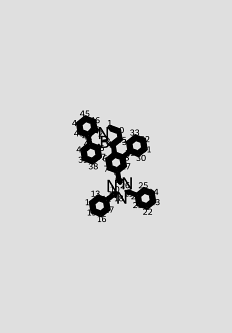 C1=CN2B(C(c3ccc(-c4nc(-c5ccccc5)nc(-c5ccccc5)n4)cc3-c3ccccc3)=C1)c1ccccc1-c1ccccc12